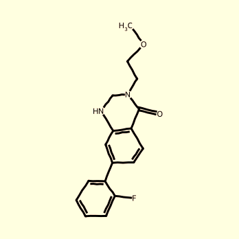 COCCN1CNc2cc(-c3ccccc3F)ccc2C1=O